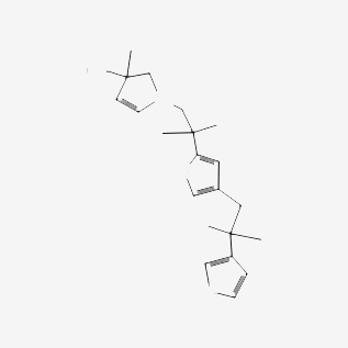 CC(C)(Cc1coc(C(C)(C)C[SH]2C=CC(C)(C(C)(C)C)C2)c1)c1ccoc1